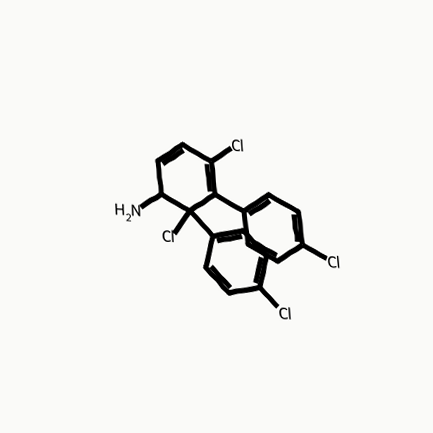 NC1C=CC(Cl)=C(c2ccc(Cl)cc2)C1(Cl)c1ccc(Cl)cc1